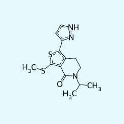 CSc1sc(-c2cc[nH]n2)c2c1C(=O)N(C(C)C)CC2